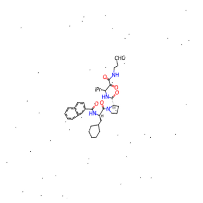 CC(C)C(NC(=O)[C@@H]1CCCN1C(=O)[C@@H](CC1CCCCC1)NC(=O)c1ccc2ccccc2c1)C(=O)C(=O)NCCC=O